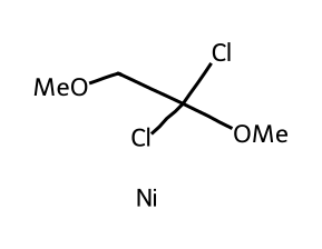 COCC(Cl)(Cl)OC.[Ni]